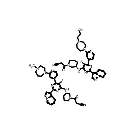 CN1CCCN(c2cc(-c3nc(-c4cnn5ccccc45)nc(N[C@@H]4CCCN(C(=O)CC#N)C4)c3F)ccn2)CC1.N#CCC(=O)N1CCC[C@@H](Nc2nc(-c3cnn4ccccc34)nc(-c3ccnc(N4CCCN(CCO)CC4)c3)c2F)C1